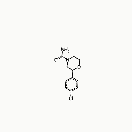 NC(=O)N1CCOC(c2ccc(Cl)cc2)C1